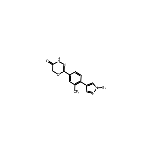 CCn1cc(-c2ccc(C3=NNC(=O)CO3)cc2C(F)(F)F)cn1